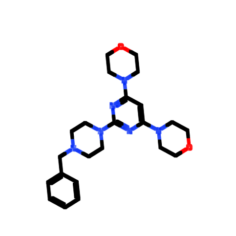 c1ccc(CN2CCN(c3nc(N4CCOCC4)cc(N4CCOCC4)n3)CC2)cc1